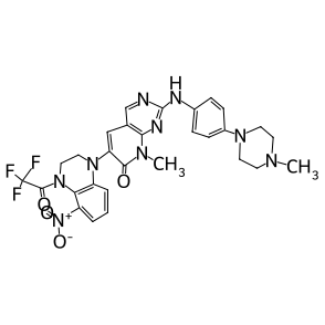 CN1CCN(c2ccc(Nc3ncc4cc(N5CCN(C(=O)C(F)(F)F)c6c5cccc6[N+](=O)[O-])c(=O)n(C)c4n3)cc2)CC1